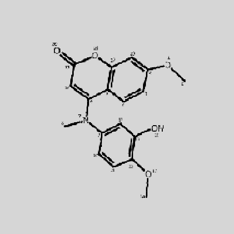 COc1ccc2c(N(C)c3ccc(OC)c(O)c3)cc(=O)oc2c1